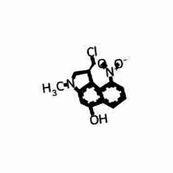 CN1C[C@@H](CCl)c2c1cc(O)c1cccc([N+](=O)[O-])c21